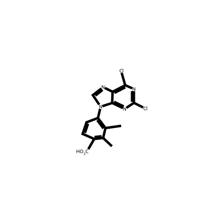 Cc1c(C(=O)O)ccc(-n2cnc3c(Cl)nc(Cl)nc32)c1C